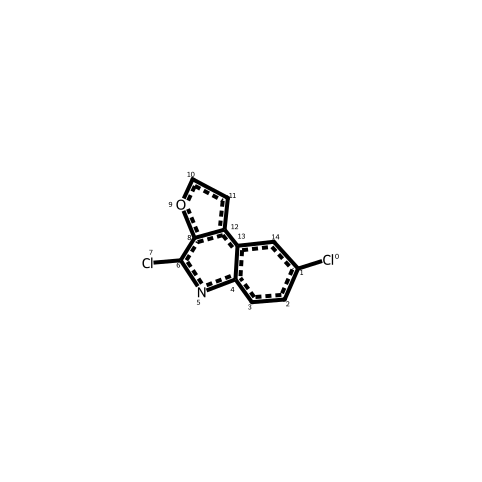 Clc1ccc2nc(Cl)c3occc3c2c1